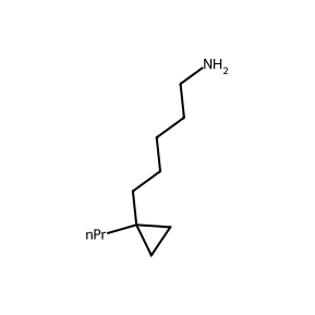 CCCC1(CCCCCN)CC1